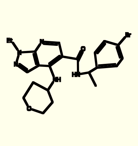 CCn1ncc2c(NC3CCOCC3)c(C(=O)NC(C)c3ccc(Br)cc3)cnc21